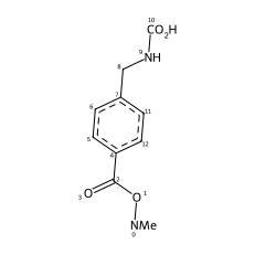 CNOC(=O)c1ccc(CNC(=O)O)cc1